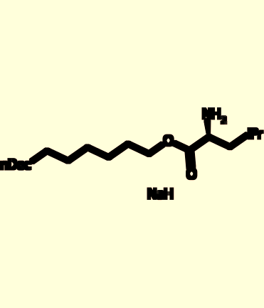 CCCCCCCCCCCCCCCCOC(=O)[C@@H](N)CC(C)C.[NaH]